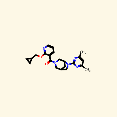 Cc1cc(C)nc(N2CC3CC2CN(C(=O)c2cccnc2OCC2CC2)C3)n1